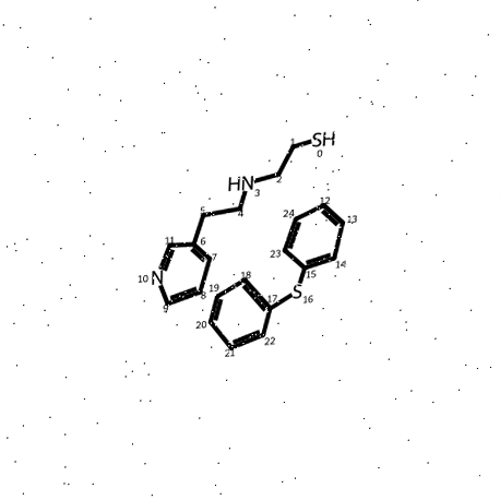 SCCNCCc1cccnc1.c1ccc(Sc2ccccc2)cc1